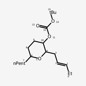 CC/C=C/CC1OC(CCCCC)CCC1OC(=O)OC(C)(C)C